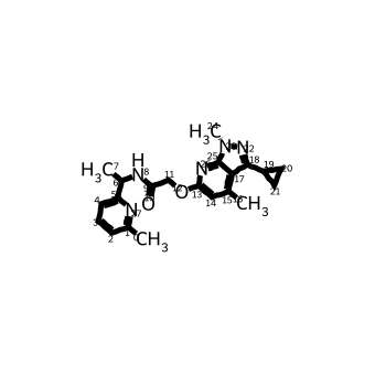 Cc1cccc(C(C)NC(=O)COc2cc(C)c3c(C4CC4)nn(C)c3n2)n1